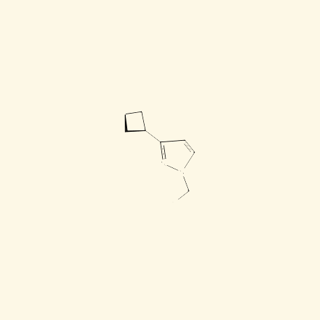 CCn1ccc(C23CC(C2)C3)n1